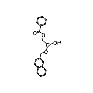 O=C(OCC1C(O)C1OCc1ccc2ccccc2c1)c1ccccc1